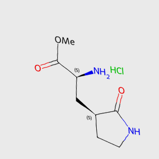 COC(=O)[C@@H](N)C[C@@H]1CCNC1=O.Cl